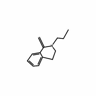 C=C1c2ccccc2CCN1CCC